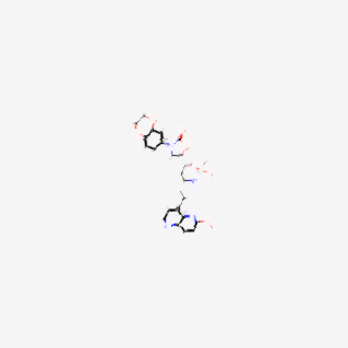 COc1ccc2nccc(CC[C@H](CC[C@@H]3CN(c4ccc5c(c4)OCCO5)C(=O)O3)NS(C)(=O)=O)c2n1